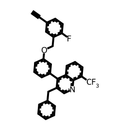 C#Cc1ccc(F)c(COc2cccc(-c3c(Cc4ccccc4)cnc4c(C(F)(F)F)cccc34)c2)c1